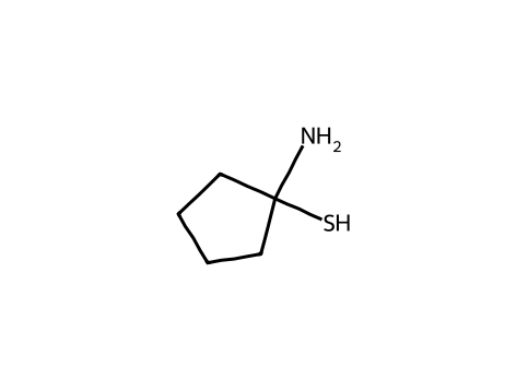 NC1(S)CCCC1